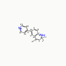 CC1=CC(C)(C)Nc2ccc(-c3ccncc3)cc21